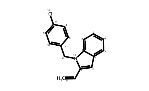 C=Cc1cc2ccccc2n1Cc1ccc(Cl)cc1